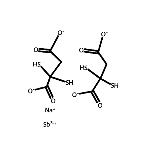 O=C([O-])CC(S)(S)C(=O)[O-].O=C([O-])CC(S)(S)C(=O)[O-].[Na+].[Sb+3]